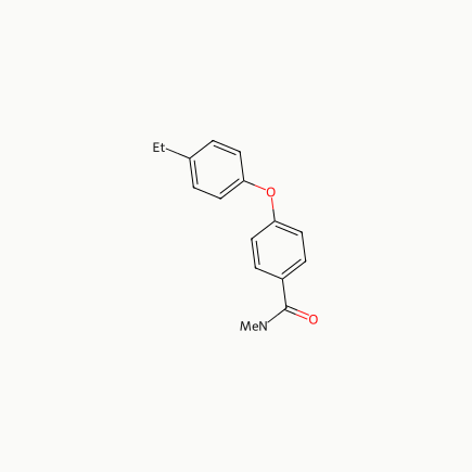 CCc1ccc(Oc2ccc(C(=O)NC)cc2)cc1